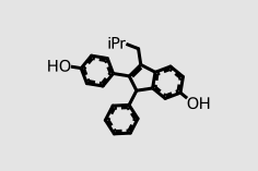 CC(C)CC1=C(c2ccc(O)cc2)C(c2ccccc2)c2cc(O)ccc21